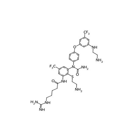 N=C(N)NCCCCC(=O)Nc1cc(C(F)(F)F)cc(N(C(N)=O)c2ccc(Oc3cc(NCCN)cc(C(F)(F)F)c3)cc2)c1SCCN